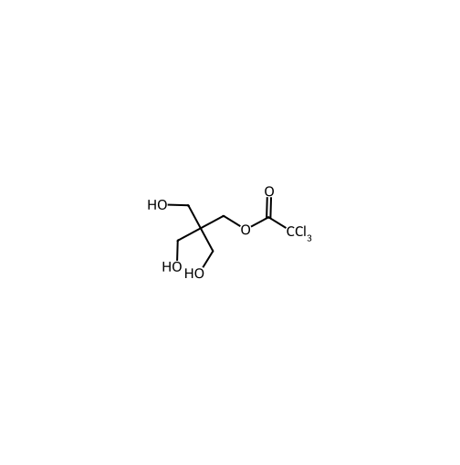 O=C(OCC(CO)(CO)CO)C(Cl)(Cl)Cl